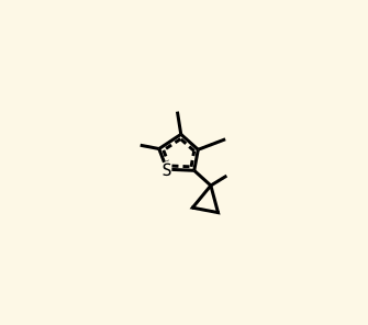 Cc1sc(C2(C)CC2)c(C)c1C